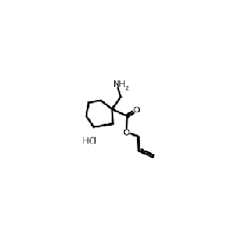 C=CCOC(=O)C1(CN)CCCCC1.Cl